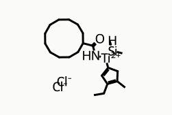 CCC1=C(C)C[C]([Ti+2]([NH]C(=O)C2CCCCCCCCCCC2)[SiH](C)C)=C1.[Cl-].[Cl-]